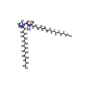 CCCCCCCCCCCCCCCCCC(=O)NC(C)N1CCN=C1CCCCCCCCCCCCCCCCC